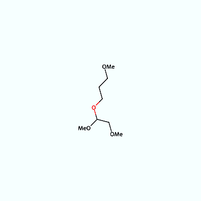 COCCCOC(COC)OC